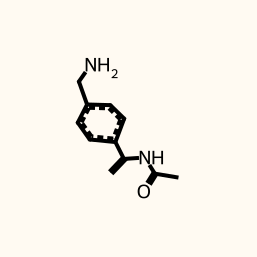 C=C(NC(C)=O)c1ccc(CN)cc1